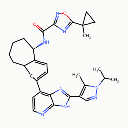 Cc1c(-c2nc3c(C4=CC=C5C(CCCC[C@H]5NC(=O)c5noc(C6(C)CC6)n5)C4)ccnc3[nH]2)cnn1C(C)C